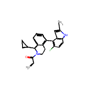 C=CC(=O)N1CCc2c(-c3c(F)ccc4[nH]c(C)cc34)cccc2C1C1CC1